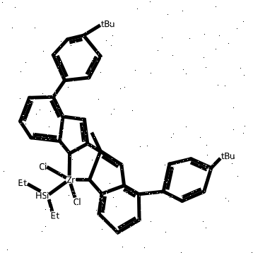 CC[SiH](CC)[Zr]([Cl])([Cl])([CH]1C(C)=Cc2c(-c3ccc(C(C)(C)C)cc3)cccc21)[CH]1C(C)=Cc2c(-c3ccc(C(C)(C)C)cc3)cccc21